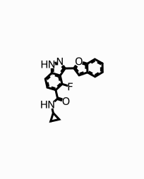 O=C(NC1CC1)c1ccc2[nH]nc(-c3cc4ccccc4o3)c2c1F